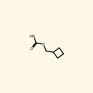 [NH]C(=O)OCC1CCC1